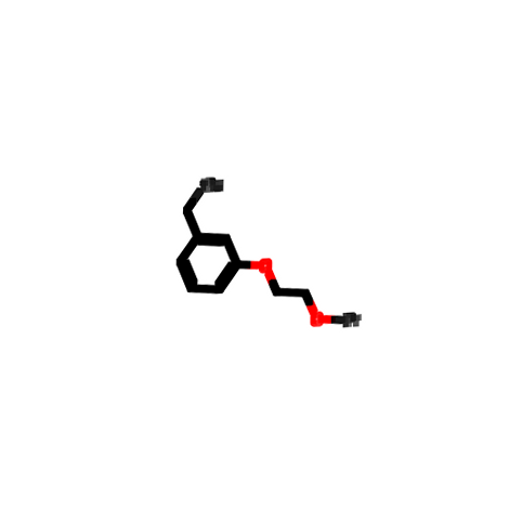 CC(C)OCCOc1cccc(CC(C)(C)C)c1